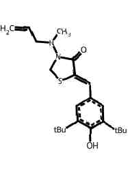 C=CCN(C)N1CS/C(=C\c2cc(C(C)(C)C)c(O)c(C(C)(C)C)c2)C1=O